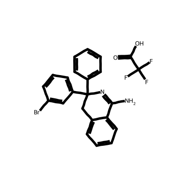 NC1=NC(c2ccccc2)(c2cccc(Br)c2)Cc2ccccc21.O=C(O)C(F)(F)F